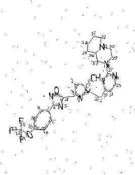 Cc1cc(-c2nc(-c3ccc(OC(F)(F)F)cc3)no2)nn1Cc1ccnc(N2CCN3CCCCC3C2)c1